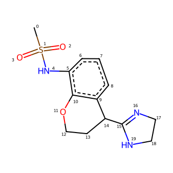 CS(=O)(=O)Nc1cccc2c1OCCC2C1=NCCN1